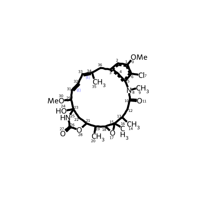 COc1cc2cc(c1Cl)N(C)C(=O)CC(C)C1(C)OC1C(C)C1CC(O)(NC(=O)O1)C(OC)/C=C/C=C(\C)C2